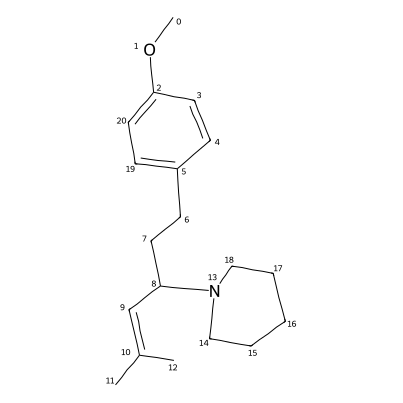 COc1ccc(CCC(C=C(C)C)N2CCCCC2)cc1